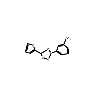 O=C(O)c1cccc(N2OOC(c3ccco3)O2)c1